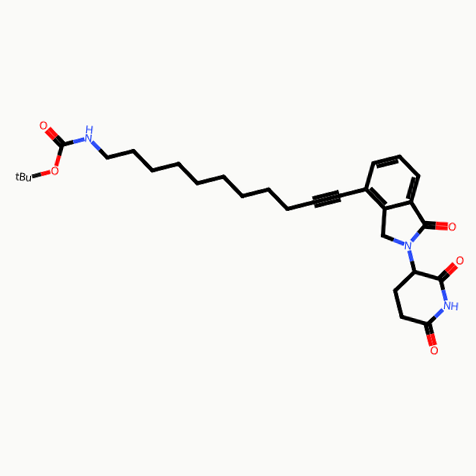 CC(C)(C)OC(=O)NCCCCCCCCCC#Cc1cccc2c1CN(C1CCC(=O)NC1=O)C2=O